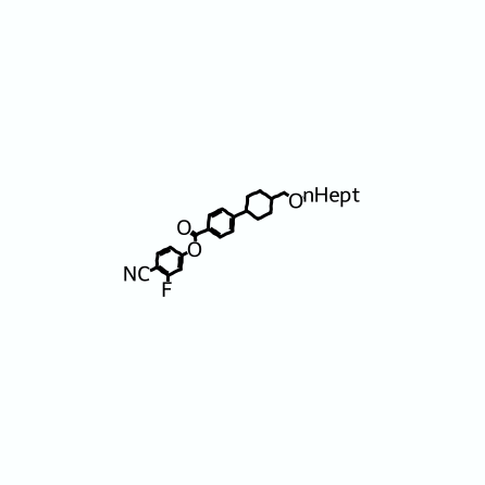 CCCCCCCOCC1CCC(c2ccc(C(=O)Oc3ccc(C#N)c(F)c3)cc2)CC1